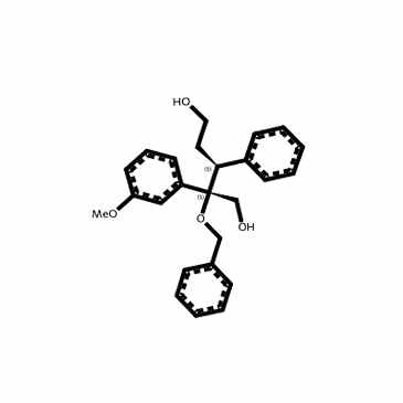 COc1cccc([C@@](CO)(OCc2ccccc2)[C@@H](CCO)c2ccccc2)c1